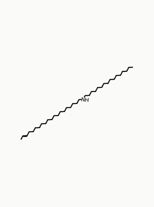 CC=CCCCCCCCCCCCCCCCCCNCCCCCCCCCCCCCCCC